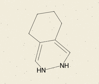 C1=C2CCCCC2=CNN1